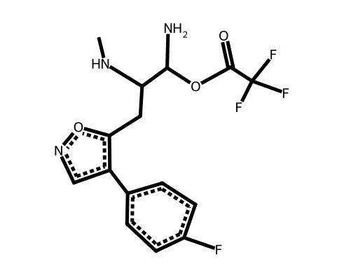 CNC(Cc1oncc1-c1ccc(F)cc1)C(N)OC(=O)C(F)(F)F